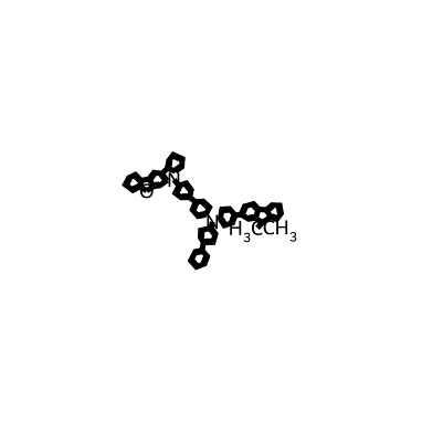 CC1(C)c2ccccc2-c2ccc(-c3ccc(N(c4ccc(-c5ccccc5)cc4)c4ccc(-c5ccc(-n6c7ccccc7c7cc8c(cc76)oc6ccccc68)cc5)cc4)cc3)cc21